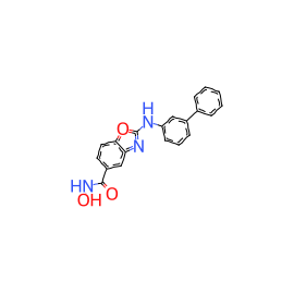 O=C(NO)c1ccc2oc(Nc3cccc(-c4ccccc4)c3)nc2c1